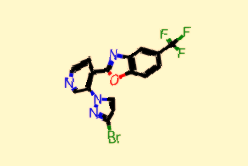 FC(F)(F)c1ccc2oc(-c3ccncc3-n3ccc(Br)n3)nc2c1